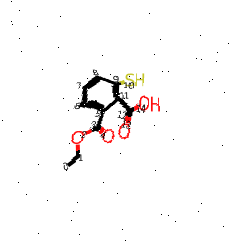 CCOC(=O)c1cccc(S)c1C(=O)O